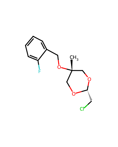 C[C@]1(OCc2ccccc2F)CO[C@@H](CCl)OC1